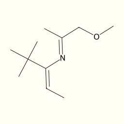 C/C=C(\N=C(/C)COC)C(C)(C)C